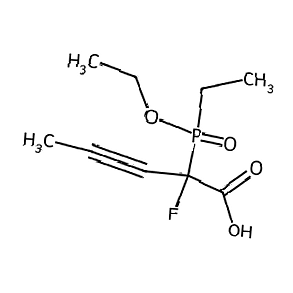 CC#CC(F)(C(=O)O)P(=O)(CC)OCC